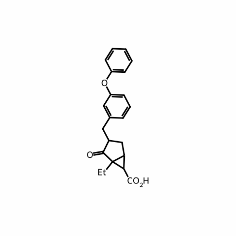 CCC12C(=O)C(Cc3cccc(Oc4ccccc4)c3)CC1C2C(=O)O